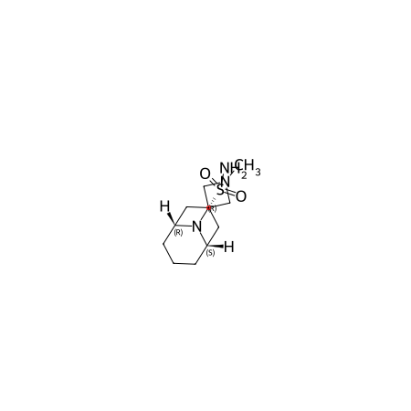 CN1CC(N2[C@@H]3CCC[C@H]2C[C@@H](S(N)(=O)=O)C3)C1